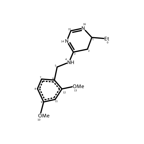 CCC1CC(NCc2ccc(OC)cc2OC)=NC=N1